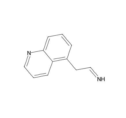 N=CCc1cccc2ncccc12